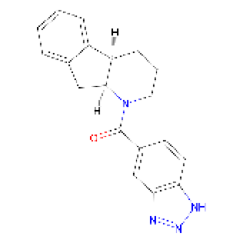 O=C(c1ccc2[nH]nnc2c1)N1CCC[C@@H]2c3ccccc3C[C@@H]21